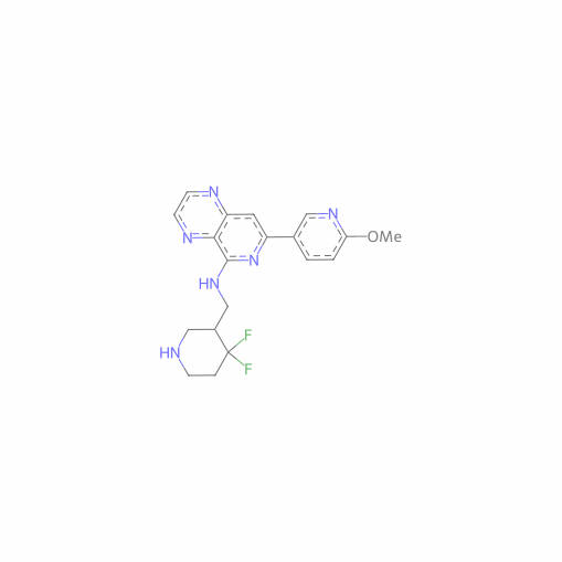 COc1ccc(-c2cc3nccnc3c(NCC3CNCCC3(F)F)n2)cn1